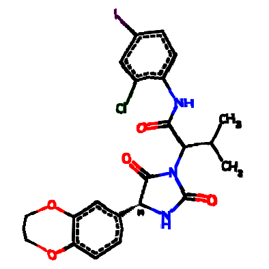 CC(C)C(C(=O)Nc1ccc(I)cc1Cl)N1C(=O)N[C@H](c2ccc3c(c2)OCCO3)C1=O